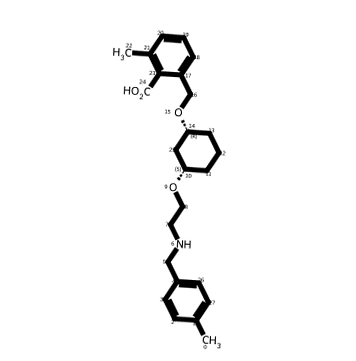 Cc1ccc(CNCCO[C@H]2CCC[C@@H](OCc3cccc(C)c3C(=O)O)C2)cc1